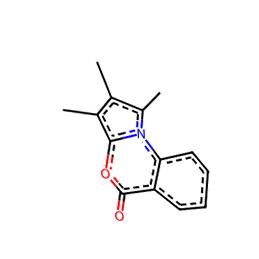 Cc1c(C)c2oc(=O)c3ccccc3n2c1C